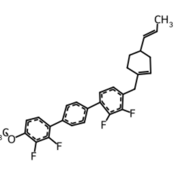 C/C=C/C1CC=C(Cc2ccc(-c3ccc(-c4ccc(OC)c(F)c4F)cc3)c(F)c2F)CC1